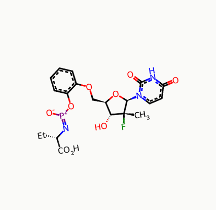 CC[C@H](N=[P+]([O-])Oc1ccccc1OC[C@H]1O[C@@H](n2ccc(=O)[nH]c2=O)[C@](C)(F)[C@@H]1O)C(=O)O